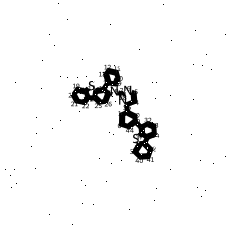 c1cc(-c2ccnc(-n3c4ccccc4c4c5sc6ccccc6c5ccc43)n2)cc(-c2cccc3c2sc2ccccc23)c1